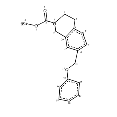 CC(C)(C)OC(=O)N1CCc2ncc(COc3ccccc3)cc2C1